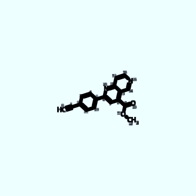 C#Cc1ccc(-c2cc(C(=O)OC)c3cnccc3n2)cc1